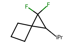 CC(C)C1C(F)(F)C12CCC2